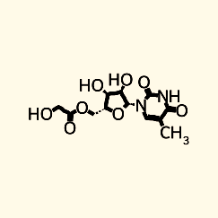 Cc1cn([C@@H]2O[C@H](COC(=O)CO)[C@@H](O)[C@H]2O)c(=O)[nH]c1=O